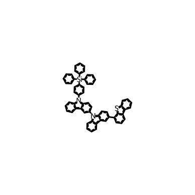 c1ccc([Si](c2ccccc2)(c2ccccc2)c2ccc(-n3c4ccccc4c4cc(-n5c6ccccc6c6cc(-c7cccc8c7sc7ccccc78)ccc65)ccc43)cc2)cc1